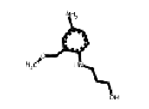 COCc1cc(N)ccc1NCCCO